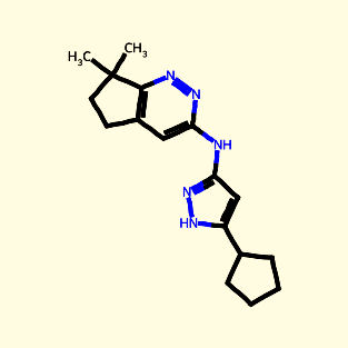 CC1(C)CCc2cc(Nc3cc(C4CCCC4)[nH]n3)nnc21